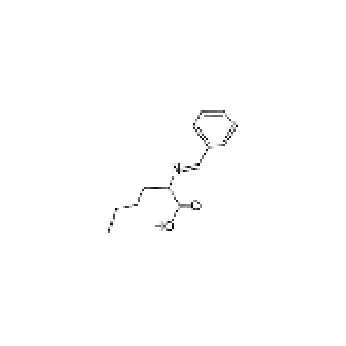 CCCCC(N=Cc1ccccc1)C(=O)O